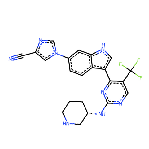 N#Cc1cn(-c2ccc3c(-c4nc(N[C@H]5CCCNC5)ncc4C(F)(F)F)c[nH]c3c2)cn1